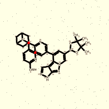 COc1ccc(CN2C3CC2CN(c2ccc(-c4cc(B5OC(C)(C)C(C)(C)O5)cn5nc6[nH]ncc6c45)cn2)C3)cn1